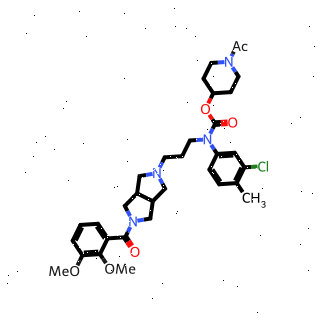 COc1cccc(C(=O)N2CC3CN(CCCN(C(=O)OC4CCN(C(C)=O)CC4)c4ccc(C)c(Cl)c4)CC3C2)c1OC